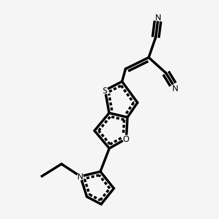 CCn1cccc1-c1cc2sc(C=C(C#N)C#N)cc2o1